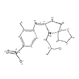 Cc1cc([N+](=O)[O-])ccc1/N=C1/SCC2(CCCC2)N1CC(C)C